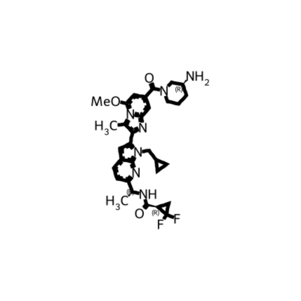 COc1cc(C(=O)N2CCC[C@@H](N)C2)cc2nc(-c3cc4ccc([C@@H](C)NC(=O)[C@H]5CC5(F)F)nc4n3CC3CC3)c(C)n12